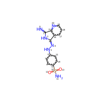 N=C1NC(=NNc2ccc(S(N)(=O)=O)cc2)c2cccnc21